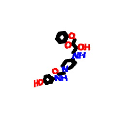 O=C(CN1CCC(NCC(O)C2COc3ccccc3O2)CC1)Nc1ccc(O)cc1